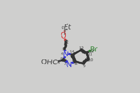 CCOCCn1c(C=O)nc2ccc(Br)cc21